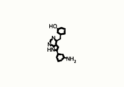 Nc1cccc(-c2cc3c(Cc4cccc(O)c4)ncnc3[nH]2)c1